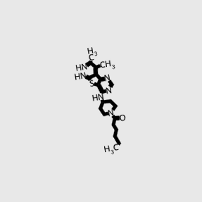 CCCCCC(=O)N1CCC(Nc2ncnc3c2SC(=N)/C3=C(/C)C(C)=N)CC1